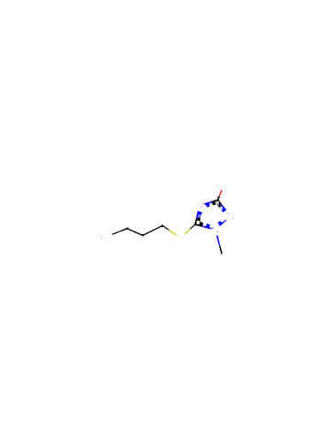 Cn1nc(O)nc1SCCCC#N